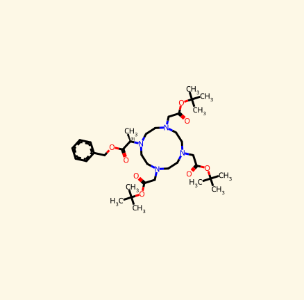 C[C@H](C(=O)OCc1ccccc1)N1CCN(CC(=O)OC(C)(C)C)CCN(CC(=O)OC(C)(C)C)CCN(CC(=O)OC(C)(C)C)CC1